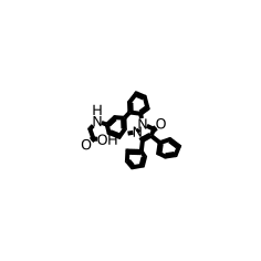 Cn1c(-c2ccccc2)c(-c2ccccc2)c(=O)n1-c1ccccc1-c1cccc(NCC(=O)O)c1